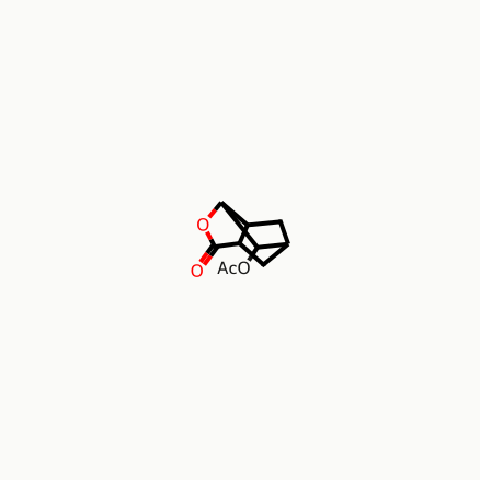 CC(=O)OC1C2CC3C(=O)OC1C3C2